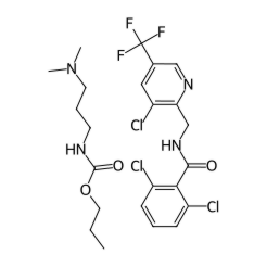 CCCOC(=O)NCCCN(C)C.O=C(NCc1ncc(C(F)(F)F)cc1Cl)c1c(Cl)cccc1Cl